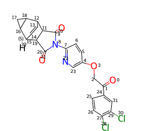 O=C(COc1ccc(N2C(=O)C3C4C=C[C@H](C5CC45)C3C2=O)nc1)c1ccc(Cl)c(Cl)c1